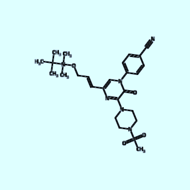 CC(C)(C)[Si](C)(C)OCC=Cc1cn(-c2ccc(C#N)cc2)c(=O)c(N2CCN(S(C)(=O)=O)CC2)n1